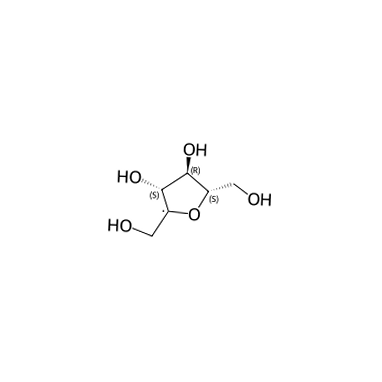 OC[C]1O[C@@H](CO)[C@H](O)[C@H]1O